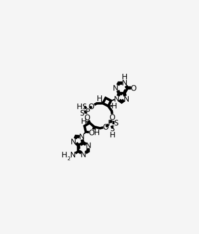 Nc1ncnc2c1ncn2[C@H]1C[C@@H]2OP(=S)(S)OC[C@H]3C[C@@H](n4cnc5c(=O)[nH]cnc54)[C@@H]3COP(=S)(S)OC[C@H]2O1